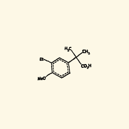 CCc1cc(C(C)(C)C(=O)O)ccc1OC